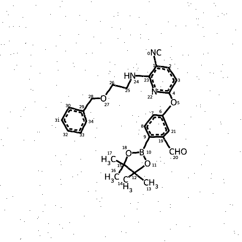 [C-]#[N+]c1ccc(Oc2ccc(B3OC(C)(C)C(C)(C)O3)c(C=O)c2)nc1NCCOCc1ccccc1